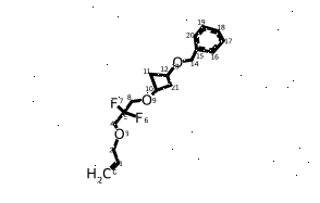 C=CCOCC(F)(F)COC1CC(OCc2ccccc2)C1